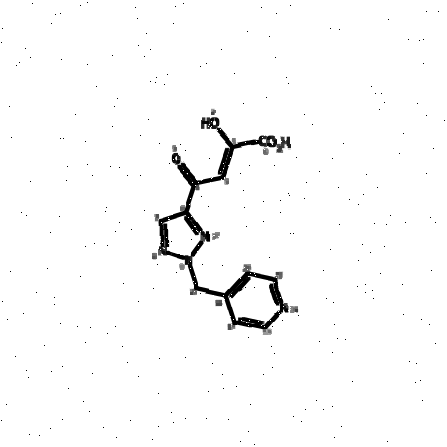 O=C(O)C(O)=CC(=O)c1cnn(Cc2ccncc2)n1